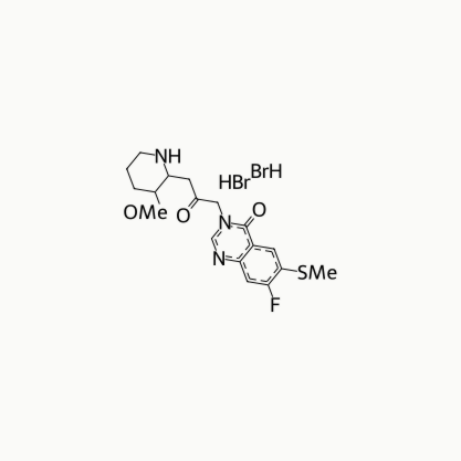 Br.Br.COC1CCCNC1CC(=O)Cn1cnc2cc(F)c(SC)cc2c1=O